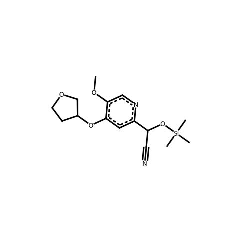 COc1cnc(C(C#N)O[Si](C)(C)C)cc1OC1CCOC1